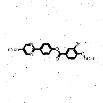 CCCCCCCCCc1cnc(-c2ccc(OC(=O)c3ccc(OCCCCCCCC)c(Br)c3)cc2)nc1